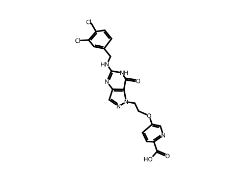 O=C(O)c1ccc(OCCn2ncc3nc(NCc4ccc(Cl)c(Cl)c4)[nH]c(=O)c32)cn1